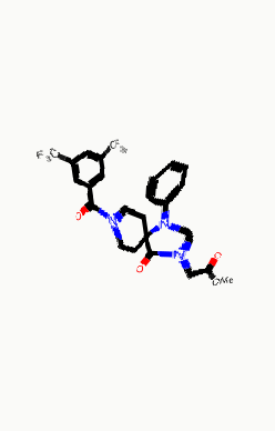 COC(=O)CN1CN(c2ccccc2)C2(CCN(C(=O)c3cc(C(F)(F)F)cc(C(F)(F)F)c3)CC2)C1=O